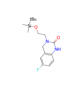 CC(C)(C)[Si](C)(C)OCCN1Cc2cc(F)ccc2NC1=O